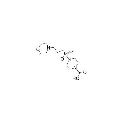 O=C(O)N1CCN(S(=O)(=O)CCCN2CCOCC2)CC1